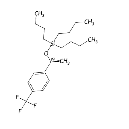 CCCC[Si](CCCC)(CCCC)O[C@@H](C)c1ccc(C(F)(F)F)cc1